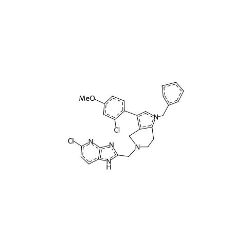 COc1ccc(-c2cn(Cc3ccccc3)c3c2CN(Cc2nc4nc(Cl)ccc4[nH]2)CC3)c(Cl)c1